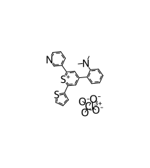 CN(C)c1ccccc1-c1cc(-c2cccnc2)[s+]c(-c2cccs2)c1.[O-][Cl+3]([O-])([O-])[O-]